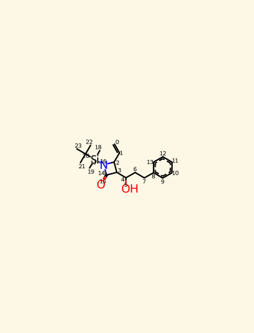 C=CC1C(C(O)CCc2ccccc2)C(=O)N1[Si](C)(C)C(C)(C)C